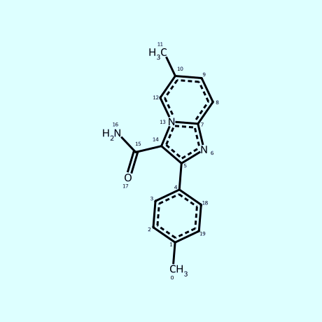 Cc1ccc(-c2nc3ccc(C)cn3c2C(N)=O)cc1